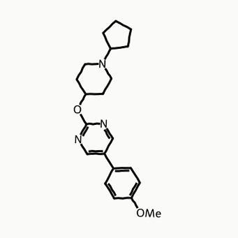 COc1ccc(-c2cnc(OC3CCN(C4CCCC4)CC3)nc2)cc1